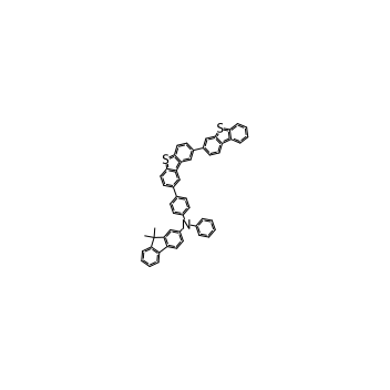 CC1(C)c2ccccc2-c2ccc(N(c3ccccc3)c3ccc(-c4ccc5sc6ccc(-c7ccc8c(c7)sc7ccccc78)cc6c5c4)cc3)cc21